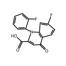 O=C(O)c1cc(=O)c2ccc(F)cc2n1-c1ccccc1F